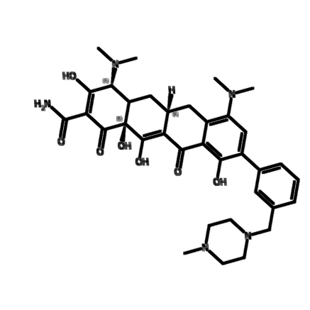 CN1CCN(Cc2cccc(-c3cc(N(C)C)c4c(c3O)C(=O)C3=C(O)[C@]5(O)C(=O)C(C(N)=O)=C(O)[C@@H](N(C)C)C5C[C@@H]3C4)c2)CC1